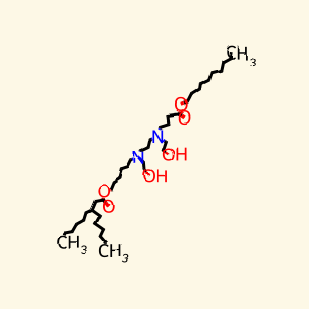 CCCCCCCCCCOC(=O)CCCN(CCO)CCCN(CCO)CCCCCCOC(=O)CC(CCCCCC)CCCCCC